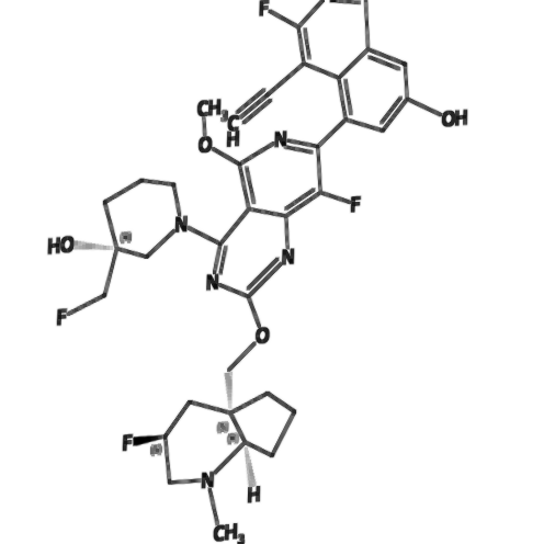 C#Cc1c(F)ccc2cc(O)cc(-c3nc(OC)c4c(N5CCC[C@](O)(CF)C5)nc(OC[C@]56CCC[C@H]5N(C)C[C@@H](F)C6)nc4c3F)c12